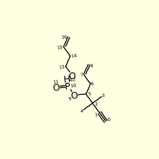 C#CC(C)(C)C(CC=C)O[PH](=O)OCCC=C